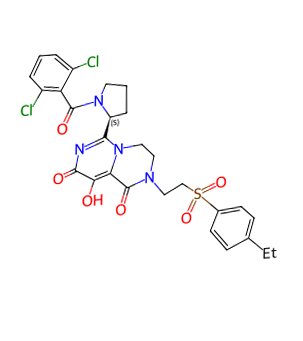 CCc1ccc(S(=O)(=O)CCN2CCn3c([C@@H]4CCCN4C(=O)c4c(Cl)cccc4Cl)nc(=O)c(O)c3C2=O)cc1